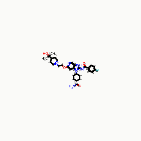 CC(C)(O)C1CCN(CCOc2cc3c(cn2)[nH]/c(=N\C(=O)c2ccc(F)cc2)n3[C@H]2CC[C@@H](C(N)=O)CC2)CC1